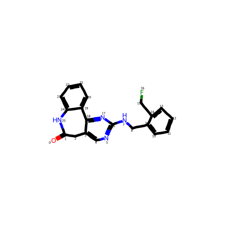 O=C1Cc2cnc(NCc3ccccc3CF)nc2-c2ccccc2N1